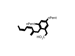 C=C(/C=C\C=C/C)Cc1c(CCCCC)cc(CCCCC)cc1CC(=O)O